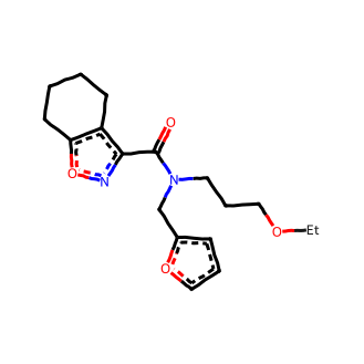 CCOCCCN(Cc1ccco1)C(=O)c1noc2c1CCCC2